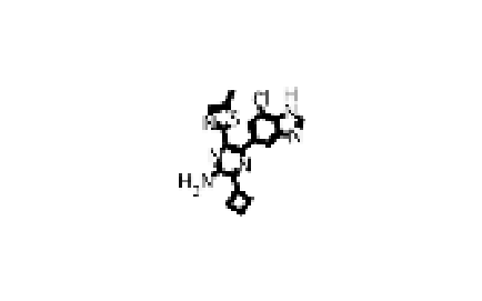 Cc1cnc(-c2nc(N)c(C3CCC3)nc2-c2cc(Cl)c3[nH]cnc3c2)s1